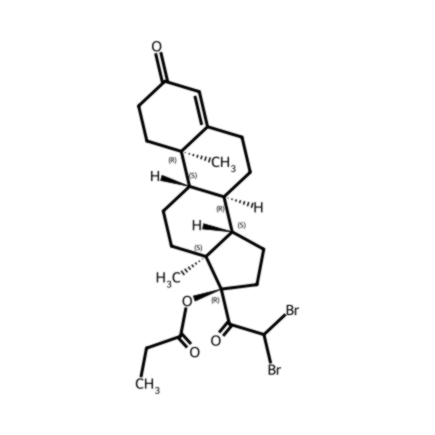 CCC(=O)O[C@]1(C(=O)C(Br)Br)CC[C@H]2[C@@H]3CCC4=CC(=O)CC[C@]4(C)[C@H]3CC[C@@]21C